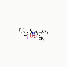 C[C@@H]1[C@@H](c2cc(C(F)(F)F)ccc2I)OC(=O)N1Cc1cc(C(F)(F)F)cc(C(F)(F)F)c1